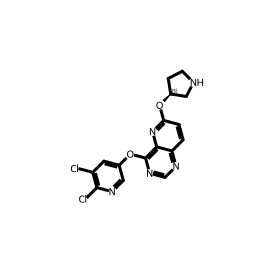 Clc1cc(Oc2ncnc3ccc(O[C@H]4CCNC4)nc23)cnc1Cl